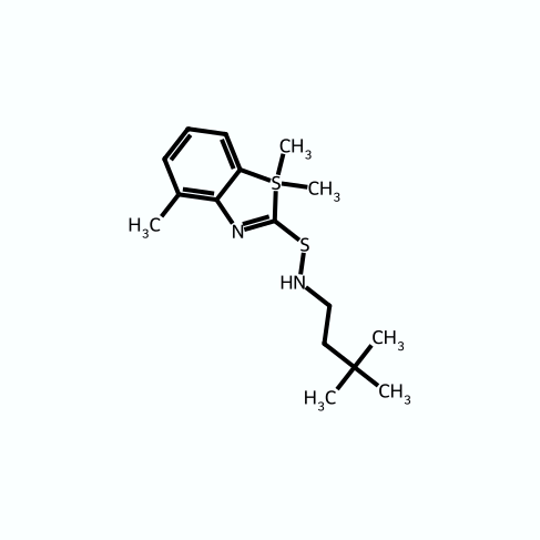 Cc1cccc2c1N=C(SNCCC(C)(C)C)S2(C)C